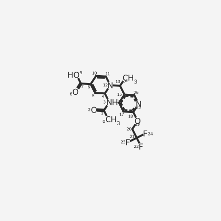 CC(=O)NC1C=C(C(=O)O)C=CN1C(C)c1ccc(OCC(F)(F)F)nc1